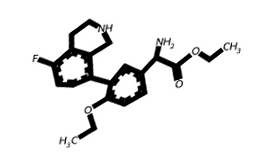 CCOC(=O)C(N)c1ccc(OCC)c(-c2ccc(F)c3c2CNCC3)c1